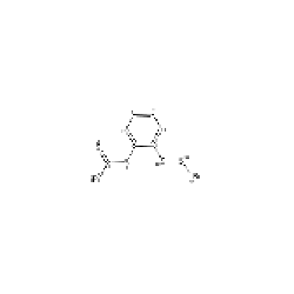 CC(C)C(=S)Sc1ccccc1SSC(C)(C)C